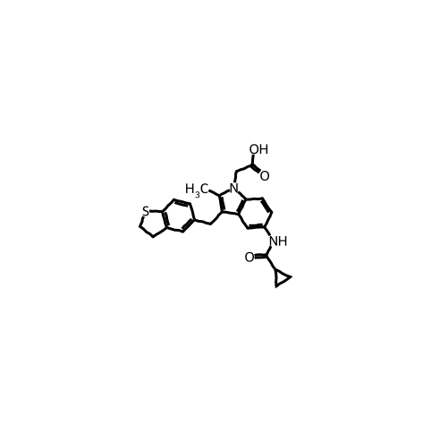 Cc1c(Cc2ccc3c(c2)CCS3)c2cc(NC(=O)C3CC3)ccc2n1CC(=O)O